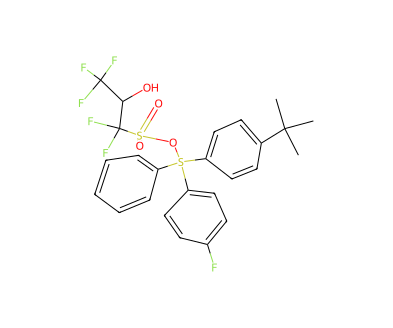 CC(C)(C)c1ccc(S(OS(=O)(=O)C(F)(F)C(O)C(F)(F)F)(c2ccccc2)c2ccc(F)cc2)cc1